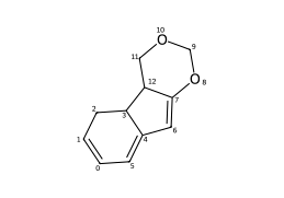 C1=CCC2C(=C1)C=C1OCOCC12